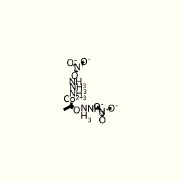 C[C](=O)[Co+2].N.N.N.N.N.O=[N+]([O-])[O-].O=[N+]([O-])[O-]